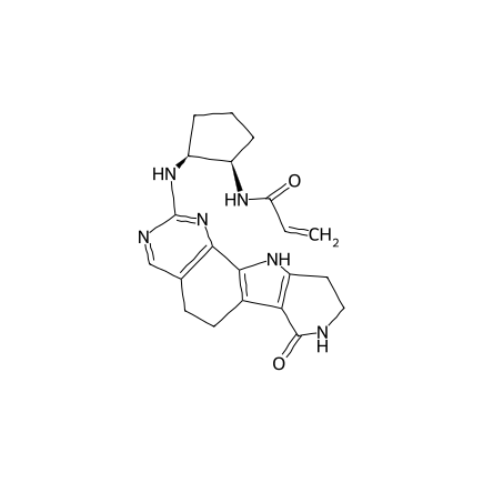 C=CC(=O)N[C@@H]1CCC[C@@H]1Nc1ncc2c(n1)-c1[nH]c3c(c1CC2)C(=O)NCC3